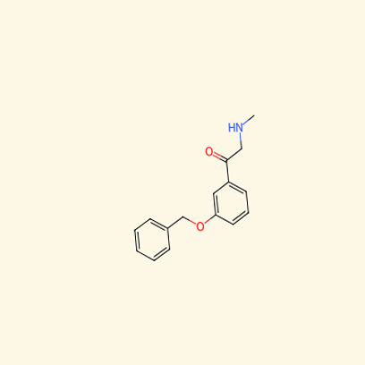 CNCC(=O)c1cccc(OCc2ccccc2)c1